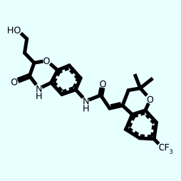 CC1(C)C/C(=C\C(=O)Nc2ccc3c(c2)NC(=O)C(CCO)O3)c2ccc(C(F)(F)F)cc2O1